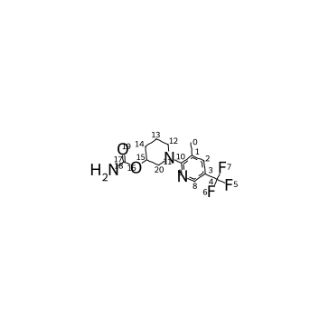 Cc1cc(C(F)(F)F)cnc1N1CCCC(OC(N)=O)C1